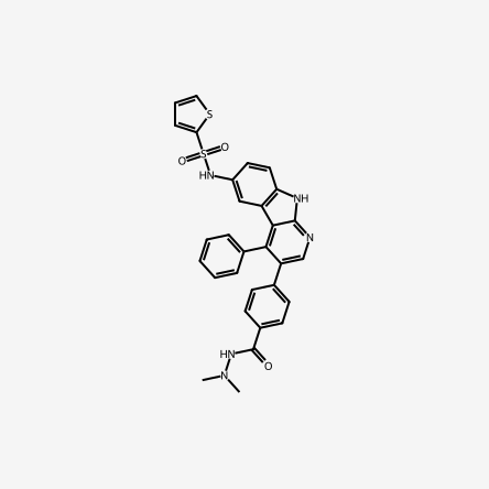 CN(C)NC(=O)c1ccc(-c2cnc3[nH]c4ccc(NS(=O)(=O)c5cccs5)cc4c3c2-c2ccccc2)cc1